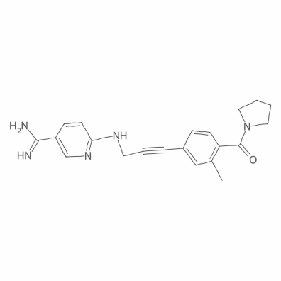 Cc1cc(C#CCNc2ccc(C(=N)N)cn2)ccc1C(=O)N1CCCC1